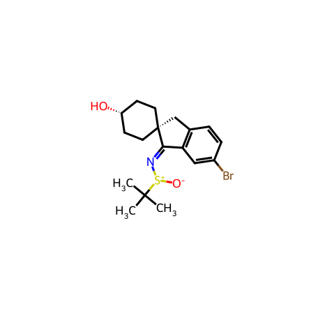 CC(C)(C)[S+]([O-])/N=C1\c2cc(Br)ccc2C[C@]12CC[C@@H](O)CC2